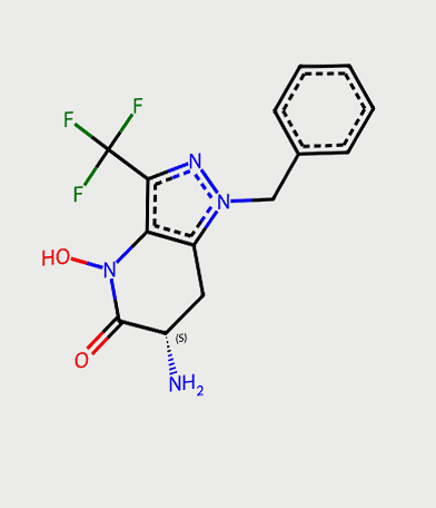 N[C@H]1Cc2c(c(C(F)(F)F)nn2Cc2ccccc2)N(O)C1=O